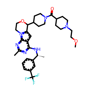 COCCN1CCC(C(=O)N2CCC(C3OCCn4c3cc3c(N[C@H](C)c5cccc(C(F)(F)F)c5)nc(C)nc34)CC2)CC1